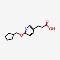 O=C(O)CCc1ccc(OCC2CCCC2)nc1